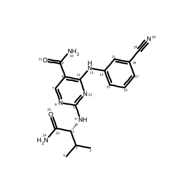 CC(C)[C@@H](Nc1ncc(C(N)=O)c(Nc2cccc(C#N)c2)n1)C(N)=O